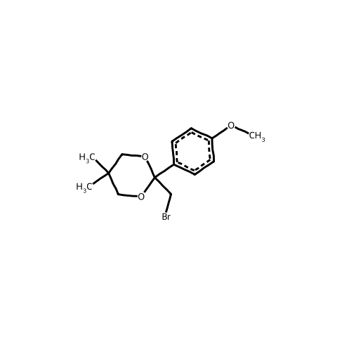 COc1ccc(C2(CBr)OCC(C)(C)CO2)cc1